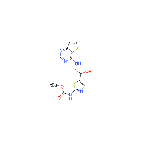 CC(C)(C)OC(=O)Nc1ncc(C(O)CNc2ncnc3ccsc23)s1